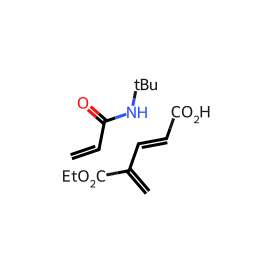 C=C(C=CC(=O)O)C(=O)OCC.C=CC(=O)NC(C)(C)C